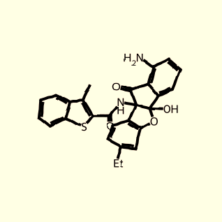 CCc1ccc2c(c1)OC1(O)c3cccc(N)c3C(=O)C21NC(=O)c1sc2ccccc2c1C